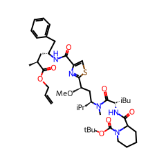 C=CCOC(=O)[C@@H](C)C[C@H](Cc1ccccc1)NC(=O)c1csc([C@@H](C[C@H](C(C)C)N(C)C(=O)[C@@H](NC(=O)C2CCCCN2C(=O)OC(C)(C)C)[C@@H](C)CC)OC)n1